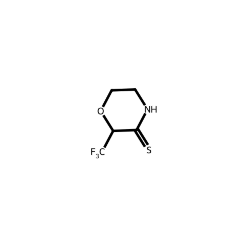 FC(F)(F)C1OCCNC1=S